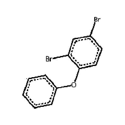 Brc1ccc(Oc2c[c]ccc2)c(Br)c1